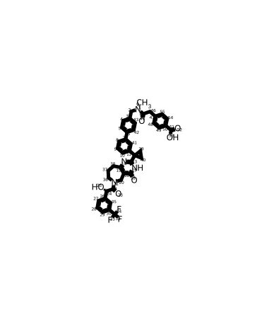 CN(Cc1ccc(-c2cccc(C3(c4nc5c(c(=O)[nH]4)CN(C(=O)[C@H](O)c4cccc(C(F)(F)F)c4)CCC5)CC3)c2)cc1)C(=O)Cc1ccc(C(=O)O)cc1